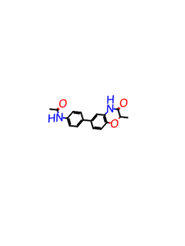 CC(=O)Nc1ccc(-c2ccc3c(c2)NC(=O)C(C)O3)cc1